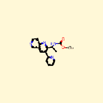 CC(NC(=O)OC(C)(C)C)c1nc2ccncc2cc1-c1ccccn1